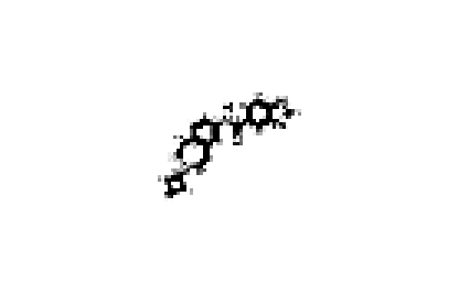 O=C(Nc1ccc2c(c1)CCN(C1CCC1)CC2)c1ccc2ncsc2c1